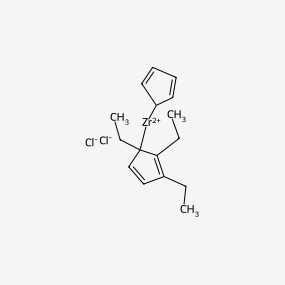 CCC1=C(CC)[C](CC)([Zr+2][CH]2C=CC=C2)C=C1.[Cl-].[Cl-]